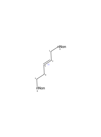 CCCCCCCCCC/C=C/CCCCCCCCCCC